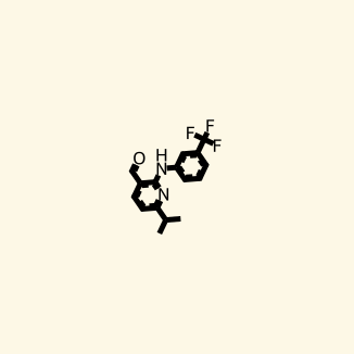 CC(C)c1ccc(C=O)c(Nc2cccc(C(F)(F)F)c2)n1